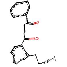 CCCc1ccccc1C(=O)CC(=O)c1ccccc1